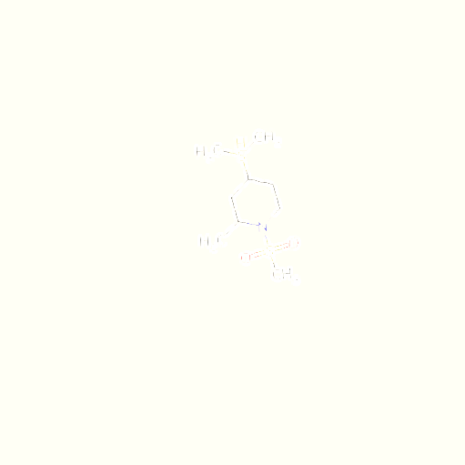 CC1CC([SH](C)C)CCN1S(C)(=O)=O